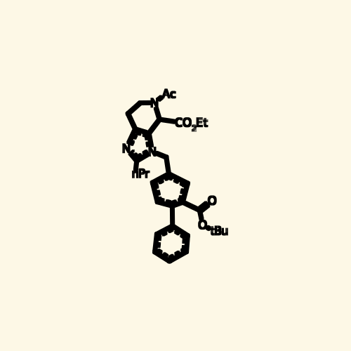 CCCc1nc2c(n1Cc1ccc(-c3ccccc3)c(C(=O)OC(C)(C)C)c1)C(C(=O)OCC)N(C(C)=O)CC2